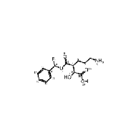 NCCCC(C(=O)OC(F)c1ccccc1)C(O)C(=O)O